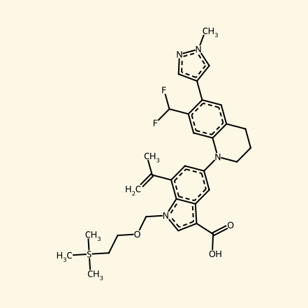 C=C(C)c1cc(N2CCCc3cc(-c4cnn(C)c4)c(C(F)F)cc32)cc2c(C(=O)O)cn(COCCS(C)(C)C)c12